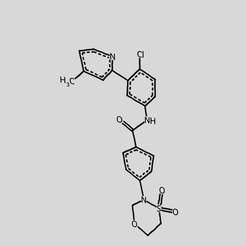 Cc1ccnc(-c2cc(NC(=O)c3ccc(N4COCCS4(=O)=O)cc3)ccc2Cl)c1